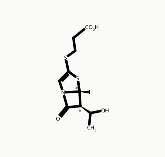 CC(O)[C@H]1C(=O)N2C=C(SCCC(=O)O)S[C@H]12